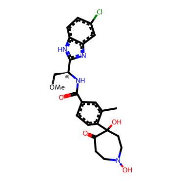 COC[C@H](NC(=O)c1ccc(C2(O)CCN(O)CCC2=O)c(C)c1)c1nc2cc(Cl)ccc2[nH]1